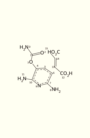 NC(=O)Oc1ccc(N)nc1N.O=C(O)C=CC(=O)O